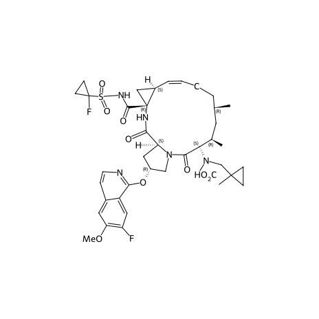 COc1cc2ccnc(O[C@@H]3C[C@H]4C(=O)N[C@]5(C(=O)NS(=O)(=O)C6(F)CC6)C[C@H]5C=CCC[C@@H](C)C[C@@H](C)[C@H](N(CC5(C)CC5)C(=O)O)C(=O)N4C3)c2cc1F